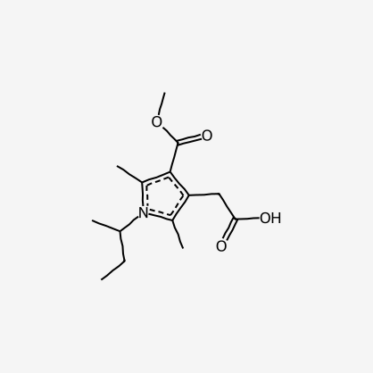 CCC(C)n1c(C)c(CC(=O)O)c(C(=O)OC)c1C